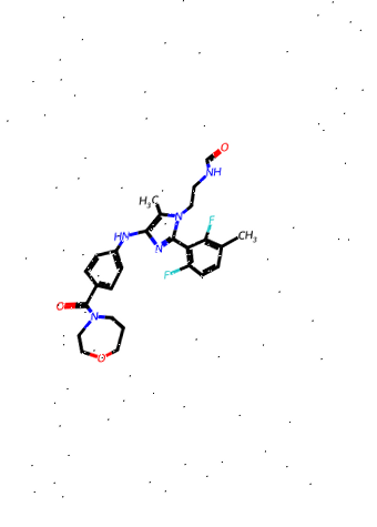 Cc1ccc(F)c(-c2nc(Nc3ccc(C(=O)N4CCCOCC4)cc3)c(C)n2CCNC=O)c1F